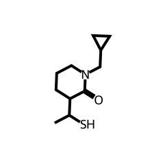 CC(S)C1CCCN(CC2CC2)C1=O